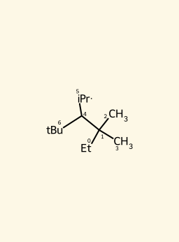 CCC(C)(C)C([C](C)C)C(C)(C)C